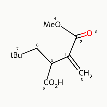 C=C(C(=O)OC)C(CC(C)(C)C)C(=O)O